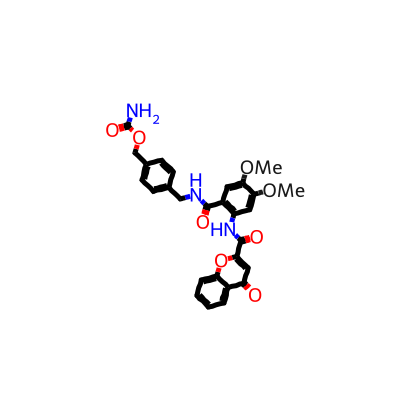 COc1cc(NC(=O)c2cc(=O)c3ccccc3o2)c(C(=O)NCc2ccc(COC(N)=O)cc2)cc1OC